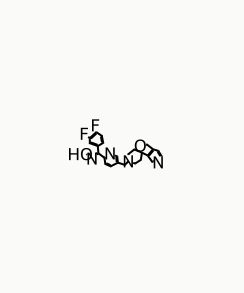 ON=C(c1ccc(F)c(F)c1)c1ccc(CN2CCC3(CC2)OCc2ccncc23)cn1